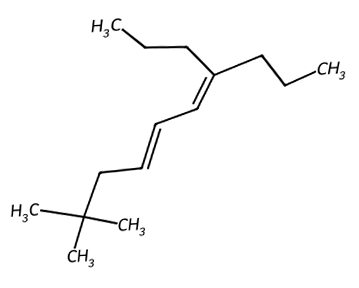 CCCC(=CC=CCC(C)(C)C)CCC